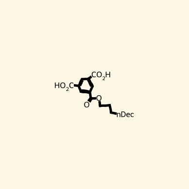 CCCCCCCCCCCCCOC(=O)c1cc(C(=O)O)cc(C(=O)O)c1